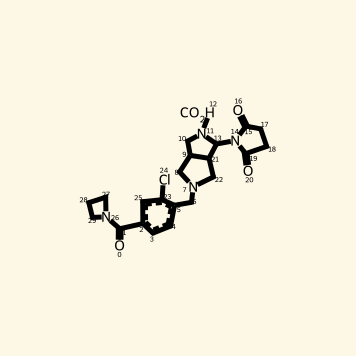 O=C(c1ccc(CN2CC3CN(C(=O)O)C(N4C(=O)CCC4=O)C3C2)c(Cl)c1)N1CCC1